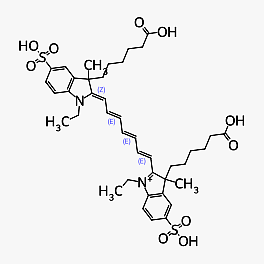 CCN1\C(=C/C=C/C=C/C=C/C2=[N+](CC)c3ccc(S(=O)(=O)O)cc3C2(C)CCCCCC(=O)O)C(C)(CCCCCC(=O)O)c2cc(S(=O)(=O)O)ccc21